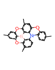 Cc1ccc2c(c1)Oc1cc(C)c3c4c1N2c1ccc(C)c2c1B4c1c(cc(C)cc1O3)O2